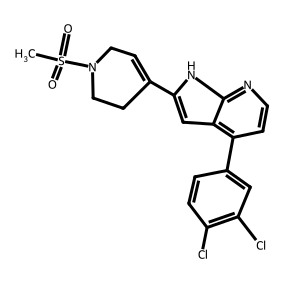 CS(=O)(=O)N1CC=C(c2cc3c(-c4ccc(Cl)c(Cl)c4)ccnc3[nH]2)CC1